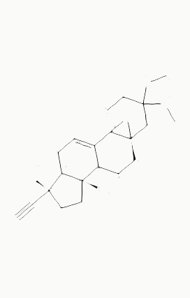 C#C[C@@]1(O)CC[C@H]2[C@@H]3CC[C@@]45CC(OC)(OC)CC[C@@]4(O5)C3=CC[C@@]21C